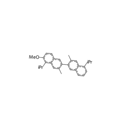 COc1ccc2cc(-c3cc4cccc(C(C)C)c4cc3C)c(C)cc2c1C(C)C